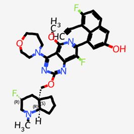 C#Cc1c(F)ccc2cc(O)cc(-c3nc(OC)c4c(N5CCCOCC5)nc(OC[C@]56CCC[C@H]5N(C)C[C@H](F)C6)nc4c3F)c12